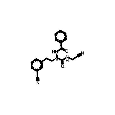 N#CCNC(=O)[C@@H](CCc1cccc(C#N)c1)NC(=O)c1ccccc1